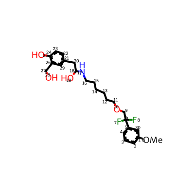 COc1cccc(C(F)(F)COCCCCCCNC(O)Cc2ccc(O)c(CO)c2)c1